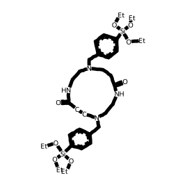 CCO[Si](OCC)(OCC)c1ccc(CN2CCNC(=O)CCN(Cc3ccc([Si](OCC)(OCC)OCC)cc3)CCNC(=O)CC2)cc1